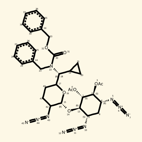 CC(=O)O[C@@H]1[C@@H](OC(C)=O)[C@H](N=[N+]=[N-])C[C@H](N=[N+]=[N-])[C@H]1O[C@H]1OC([C@@H](C2CC2)N(Cc2ccccc2)C(=O)OCc2ccccc2)CCC1N=[N+]=[N-]